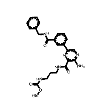 CC(C)(C)OC(=O)NCCCNC(=O)c1nc(-c2cccc(C(=O)NCc3ccccc3)c2)cnc1N